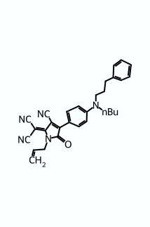 C=CCN1C(=O)C(c2ccc(N(CCCC)CCCc3ccccc3)cc2)=C(C#N)C1=C(C#N)C#N